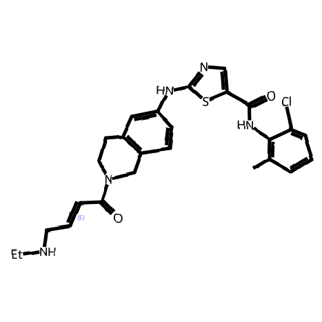 CCNC/C=C/C(=O)N1CCc2cc(Nc3ncc(C(=O)Nc4c(C)cccc4Cl)s3)ccc2C1